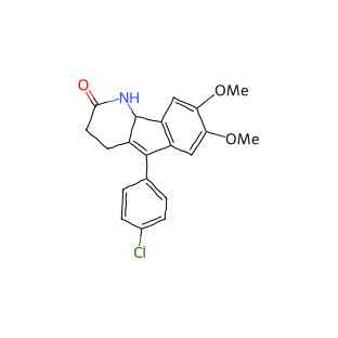 COc1cc2c(cc1OC)C1NC(=O)CCC1=C2c1ccc(Cl)cc1